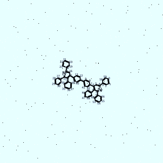 c1ccc(-c2cc(-c3ccc(-c4ccc(-c5cc(-c6ccccc6)nc(-c6ccccc6)c5-c5ccccc5)cc4)cc3)c(-c3ccccc3)c(-c3ccccc3)n2)cc1